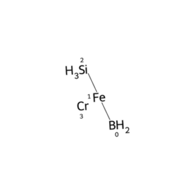 [BH2][Fe][SiH3].[Cr]